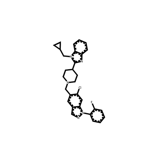 Fc1ccccc1-n1ncc2cc(CN3CCC(c4nc5ccccc5n4CC4CC4)CC3)c(Cl)cc21